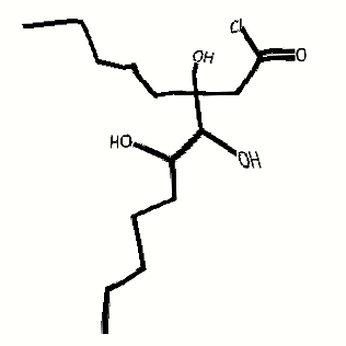 CCCCCC(O)C(O)C(O)(CCCCC)CC(=O)Cl